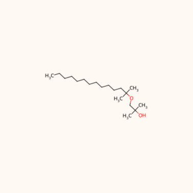 CCCCCCCCCCCCC(C)(C)OCC(C)(C)O